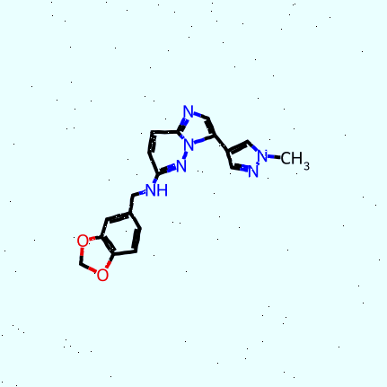 Cn1cc(-c2cnc3ccc(NCc4ccc5c(c4)OCO5)nn23)cn1